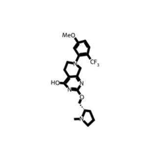 COc1ccc(C(F)(F)F)c(N2CCc3c(O)nc(OC[C@@H]4CCCN4C)nc3C2)c1